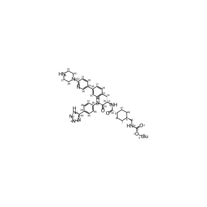 CC(C)(C)OC(=O)NC[C@H]1CC[C@H](C(=O)N[C@@H](Cc2ccc(-c3ccc(N4CCNCC4)nc3)cc2)C(=O)Nc2ccc(-c3nnn[nH]3)cc2)CC1